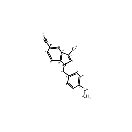 COc1ccc(Cn2cc(Br)c3cc(C#N)ccc32)cc1